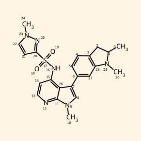 CC1Cc2ccc(-c3cn(C)c4nccc(NS(=O)(=O)c5ccn(C)n5)c34)cc2N1C